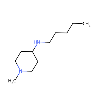 CCCCCNC1CCN(C)CC1